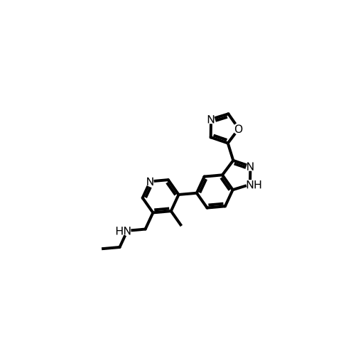 CCNCc1cncc(-c2ccc3[nH]nc(-c4cnco4)c3c2)c1C